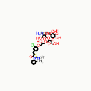 CCC/N=C1\S/C(=C\c2ccc(OC[C@H](O)COC3O[C@H](CO)[C@H](OC4C[C@@H](NC(C)=O)[C@@H](O)[C@H](O)[C@H]4O)[C@H]3O[C@@H]3O[C@H](O)[C@@H](N)[C@@H]3O)c(Cl)c2)C(=O)N1c1ccccc1C